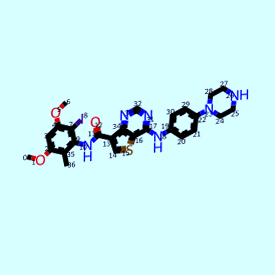 COc1cc(OC)c(I)c(NC(=O)c2csc3c(Nc4ccc(N5CCNCC5)cc4)ncnc23)c1C